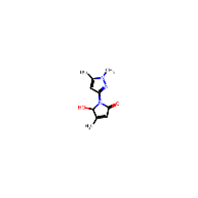 CC1=CC(=O)N(c2cc(C(C)(C)C)n(C)n2)C1O